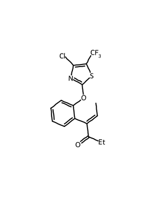 C/C=C(/C(=O)CC)c1ccccc1Oc1nc(Cl)c(C(F)(F)F)s1